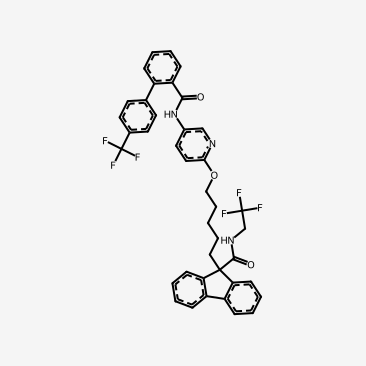 O=C(Nc1ccc(OCCCCCC2(C(=O)NCC(F)(F)F)c3ccccc3-c3ccccc32)nc1)c1ccccc1-c1ccc(C(F)(F)F)cc1